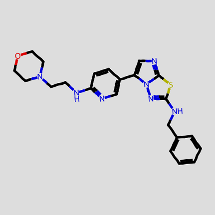 c1ccc(CNc2nn3c(-c4ccc(NCCN5CCOCC5)nc4)cnc3s2)cc1